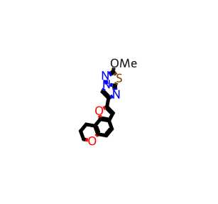 COc1nn2cc(-c3cc4ccc5c(c4o3)CCCO5)nc2s1